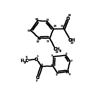 COC(=O)c1cccnc1.Cc1ncccc1C(=O)O